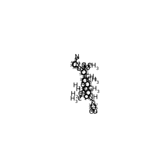 C=C(C)[C@@H]1CC[C@]2(NCCN3CCS(=O)(=O)CC3)CC[C@]3(C)[C@H](CCC4[C@@]5(C)CC=C(C6=CCC(COc7cccc(C#N)n7)(C(=O)OC)CC6)C(C)(C)C5CC[C@]43C)C12